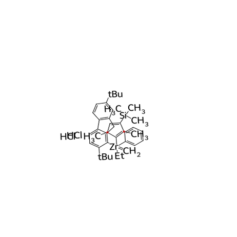 Cl.Cl.[CH2]=[Zr]([CH2]C)([C]1=C(C)C([Si](C)(C)C)=CC1C)([c]1ccccc1)[c]1c(C(C)(C)C)ccc2c1Cc1cc(C(C)(C)C)ccc1-2